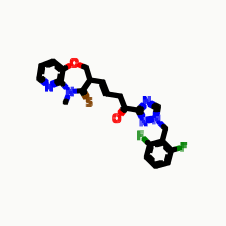 CN1C(=S)C(/C=C/CC(=O)c2ncn(Cc3c(F)cccc3F)n2)COc2cccnc21